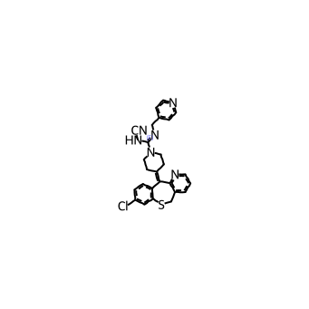 N#CN/C(=N\Cc1ccncc1)N1CCC(=C2c3ccc(Cl)cc3SCc3cccnc32)CC1